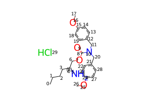 CCCC[C@@H](N)COC(=O)N(Cc1ccc(OC)cc1)Cc1ccc(OC)cc1.Cl